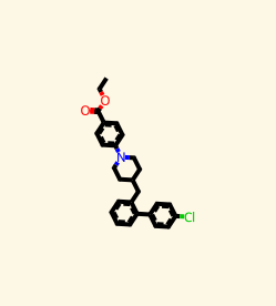 CCOC(=O)c1ccc(N2CCC(Cc3ccccc3-c3ccc(Cl)cc3)CC2)cc1